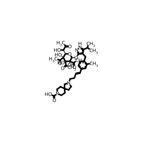 CC(=O)C(O)[C@H]1O[C@@H](Oc2n[nH]c(C(C)C)c2Cc2ccc(/C=C/CCN3CCC4(CCN(C(=O)O)CC4)C3)cc2C)[C@@](O)(C(C)=O)[C@](O)(C(C)=O)[C@@]1(O)C(C)=O